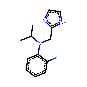 CC(C)N(Cc1ncc[nH]1)c1ccccc1F